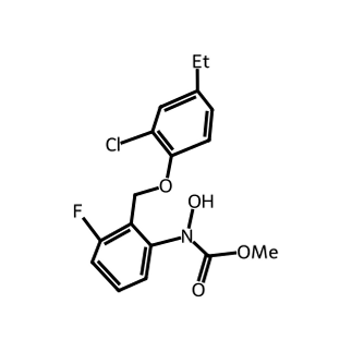 CCc1ccc(OCc2c(F)cccc2N(O)C(=O)OC)c(Cl)c1